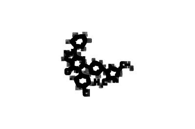 Cc1cnc(C)c(-c2ccc(-c3nc4c(cnn4-c4ccccc4)c(=O)n3-c3ccc(Cl)cc3)cc2)n1